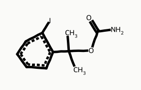 CC(C)(OC(N)=O)c1ccccc1I